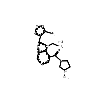 CCn1c(-c2nonc2N)nc2cncc(C(=O)N3CC[C@H](N)C3)c21.Cl